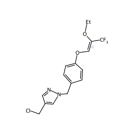 CCO/C(=C\Oc1ccc(Cn2cc(CCl)cn2)cc1)C(F)(F)F